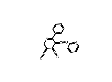 O=C=C1CN=C(c2ccccn2)C(=C=O)C1=C=O.c1ccncc1